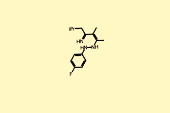 CC(NNc1ccc(F)cc1)=C(C)C(=N)CC(C)C